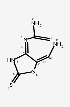 C=C(N)/N=C1/NC(=S)S/C1=C/N